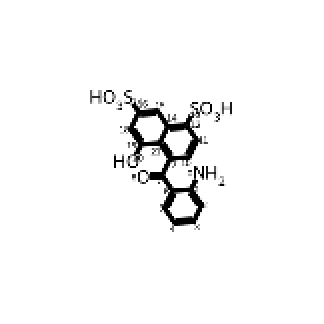 Nc1ccccc1C(=O)c1ccc(S(=O)(=O)O)c2cc(S(=O)(=O)O)cc(O)c12